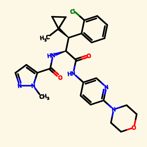 Cn1nccc1C(=O)N[C@H](C(=O)Nc1ccc(N2CCOCC2)nc1)[C@H](c1ccccc1Cl)C1(C)CC1